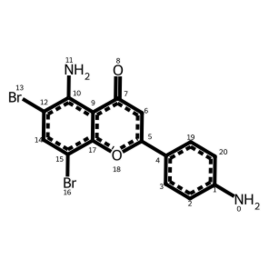 Nc1ccc(-c2cc(=O)c3c(N)c(Br)cc(Br)c3o2)cc1